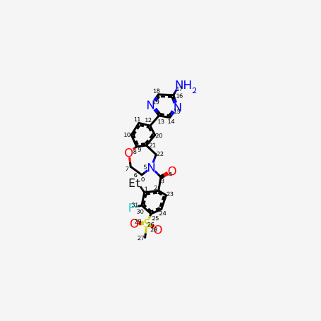 CCc1c(C(=O)N2CCOc3ccc(-c4cnc(N)cn4)cc3C2)ccc(S(C)(=O)=O)c1F